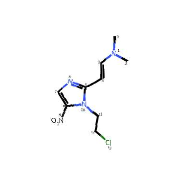 CN(C)/C=C/c1ncc([N+](=O)[O-])n1CCCl